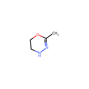 CC1=NNCCO1